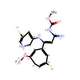 CC(C)(C)OC(=O)NC(=N)/C=C(\NC1=CC(F)=CNC1)C1=CC(F)=CCC(OC(F)(F)F)=C1